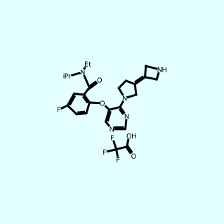 CCN(C(=O)c1cc(F)ccc1Oc1cncnc1N1CCC(=C2CNC2)C1)C(C)C.O=C(O)C(F)(F)F